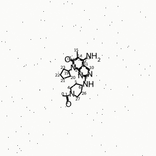 CC(=O)N1CCC(Nc2ncc3c(N)c(C)c(=O)n(C4CCCC4)c3n2)CC1